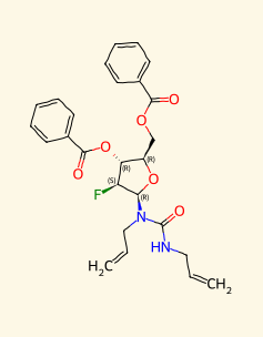 C=CCNC(=O)N(CC=C)[C@@H]1O[C@H](COC(=O)c2ccccc2)[C@@H](OC(=O)c2ccccc2)[C@@H]1F